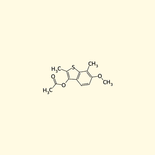 COc1ccc2c(OC(C)=O)c(C)sc2c1C